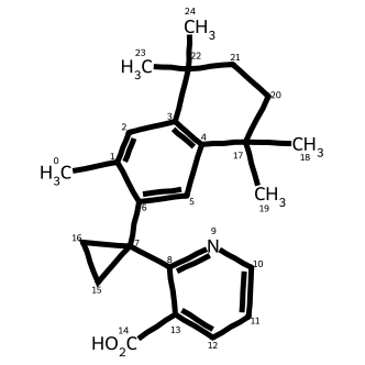 Cc1cc2c(cc1C1(c3ncccc3C(=O)O)CC1)C(C)(C)CCC2(C)C